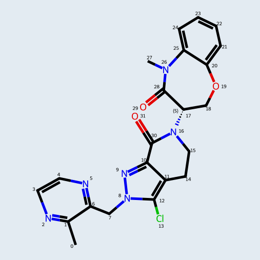 Cc1nccnc1Cn1nc2c(c1Cl)CCN([C@H]1COc3ccccc3N(C)C1=O)C2=O